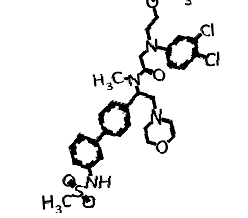 COCCN(CC(=O)N(C)C(CN1CCOCC1)c1ccc(-c2cccc(NS(C)(=O)=O)c2)cc1)c1ccc(Cl)c(Cl)c1